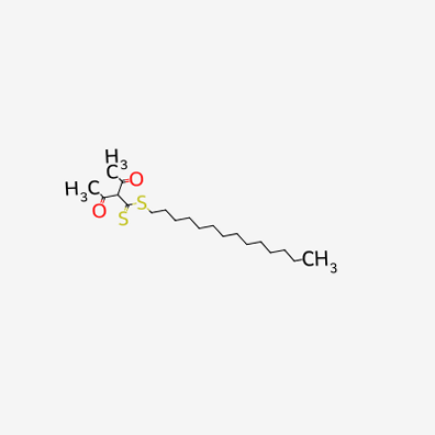 CCCCCCCCCCCCCCSC(=S)C(C(C)=O)C(C)=O